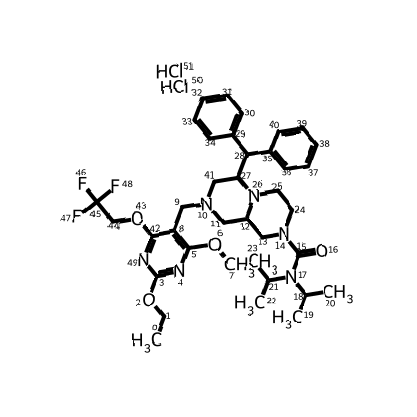 CCOc1nc(OC)c(CN2CC3CN(C(=O)N(C(C)C)C(C)C)CCN3C(C(c3ccccc3)c3ccccc3)C2)c(OCC(F)(F)F)n1.Cl.Cl